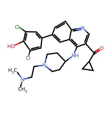 CN(C)CCN1CCC(Nc2c(C(=O)C3CC3)cnc3ccc(-c4cc(Cl)c(O)c(Cl)c4)cc23)CC1